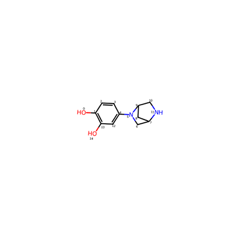 Oc1ccc(N2CC3CC2CN3)cc1O